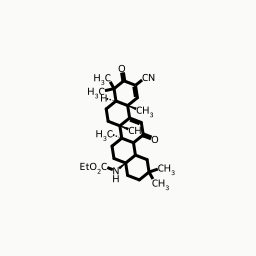 CCOC(=O)N[C@]12CCC(C)(C)CC1C1C(=O)C=C3[C@@]4(C)C=C(C#N)C(=O)C(C)(C)[C@@H]4CC[C@@]3(C)[C@]1(C)CC2